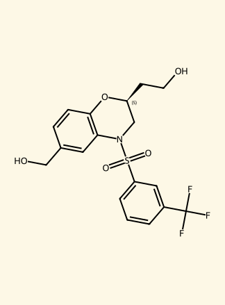 O=S(=O)(c1cccc(C(F)(F)F)c1)N1C[C@H](CCO)Oc2ccc(CO)cc21